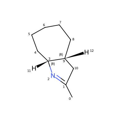 CC1=N[C@@H]2CCCCC[C@@H]2C1